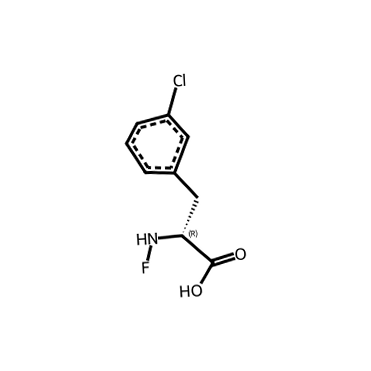 O=C(O)[C@@H](Cc1cccc(Cl)c1)NF